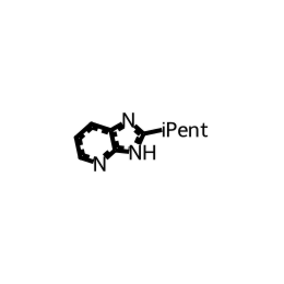 CCCC(C)c1nc2cccnc2[nH]1